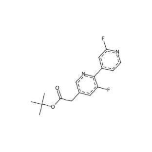 CC(C)(C)OC(=O)Cc1cnc(-c2ccnc(F)c2)c(F)c1